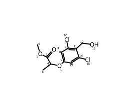 COC(=O)C(C)Oc1cc(Cl)c(CO)c(Cl)c1